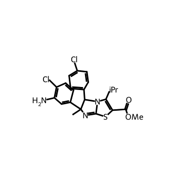 COC(=O)C1=C(C(C)C)N2C(=NC(C)(c3ccc(Cl)c(N)c3)C2c2ccc(Cl)cc2)S1